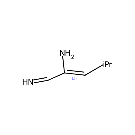 CC(C)/C=C(\N)C=N